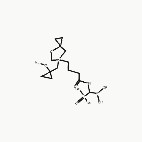 COC1(CS2(CCCC(=O)NC(P(O)O)P(=O)(O)O)COC3(CC3)C2)CC1